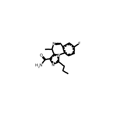 CCCc1nc(C(N)=O)c2n1-c1ccc(F)cc1C=NC2C